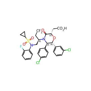 O=C(O)C[C@@H]1O[C@H](c2cccc(Cl)c2)[C@@H](c2ccc(Cl)cc2)N([C@@H](CN(c2ccccc2F)S(=O)(=O)C2CC2)CC(F)(F)F)C1=O